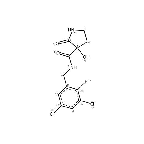 O=C1NCCC1(O)C(=O)NCc1cc(Cl)cc(Cl)c1F